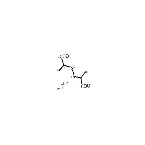 CC(SSC(C)C(=O)[O-])C(=O)[O-].[Li+].[Li+]